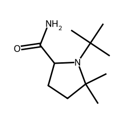 CC(C)(C)N1C(C(N)=O)CCC1(C)C